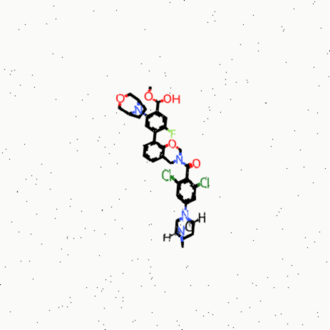 COC(O)c1cc(F)c(-c2cccc3c2OCN(C(=O)c2c(Cl)cc(N4C[C@H]5CC[C@@H]4CN5C)cc2Cl)C3)cc1N1C2CCC1COC2